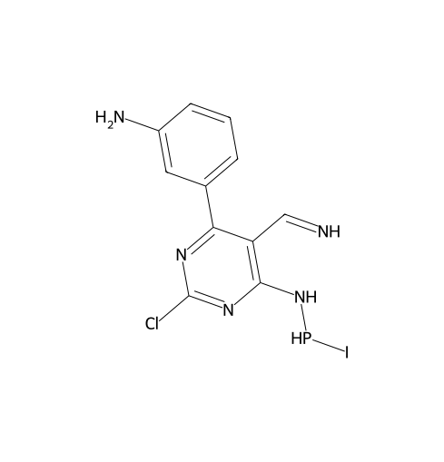 N=Cc1c(NPI)nc(Cl)nc1-c1cccc(N)c1